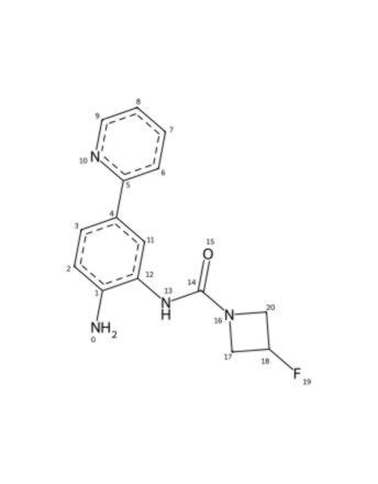 Nc1ccc(-c2ccccn2)cc1NC(=O)N1CC(F)C1